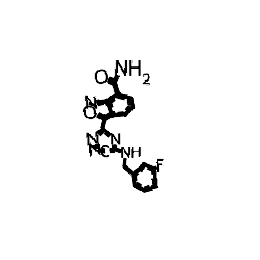 NC(=O)c1cccc2c(-c3nncc(NCc4cccc(F)c4)n3)onc12